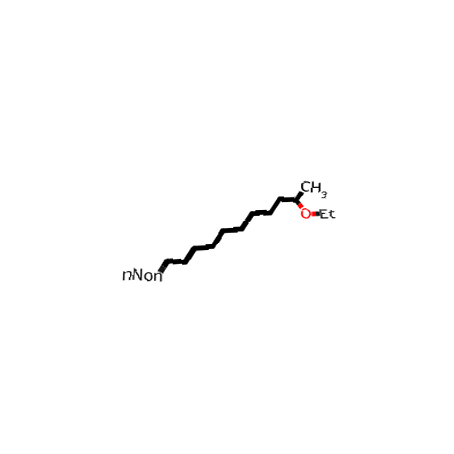 CCCCCCCCCCCCCCCCCCC(C)OCC